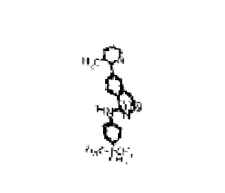 Cc1cccnc1-c1ccc2c(Nc3ccc(C(C)(C)C)cc3)nncc2c1.Cl